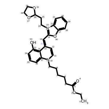 CCOC(=O)CCCCCN1C=C/C(=C\c2oc3ccccc3[n+]2CCC2OCCO2)c2c(O)cccc21